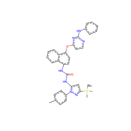 Cc1ccc(-n2nc(S(C)(C)C(C)(C)C)cc2NC(=O)Nc2ccc(Oc3ccnc(Nc4ccccc4)n3)c3ccccc23)cc1